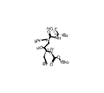 CCC(C)[C@H](NC(=O)N(CC(O)[C@H](CC(C)C)NC(=O)OC(C)(C)C)C(C)C)C(=O)O